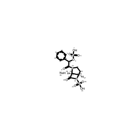 O=C(C(OS(=O)(=O)O)c1ccccc1)N1CC[C@@H]2[C@H]1C(=O)N2S(=O)(=O)O.[NaH]